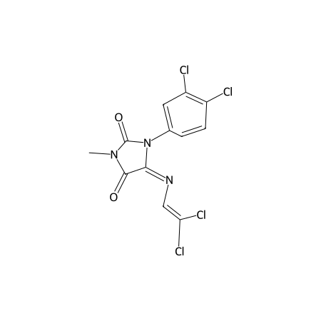 CN1C(=O)C(=NC=C(Cl)Cl)N(c2ccc(Cl)c(Cl)c2)C1=O